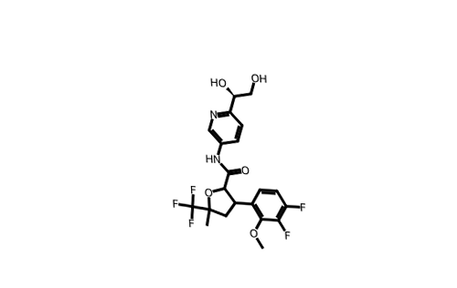 COc1c(C2CC(C)(C(F)(F)F)OC2C(=O)Nc2ccc([C@@H](O)CO)nc2)ccc(F)c1F